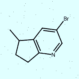 CC1CCc2ncc(Br)cc21